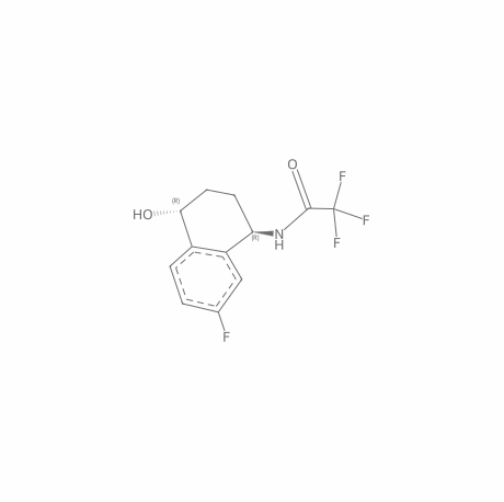 O=C(N[C@@H]1CC[C@@H](O)c2ccc(F)cc21)C(F)(F)F